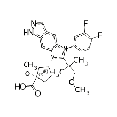 COCC(C)(C)c1c([C@@H]2CC[C@@](OC)(C(=O)O)C2)c2cc3[nH]ncc3cc2n1-c1ccc(F)c(F)c1